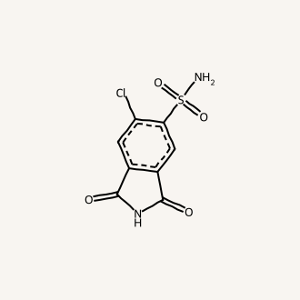 NS(=O)(=O)c1cc2c(cc1Cl)C(=O)NC2=O